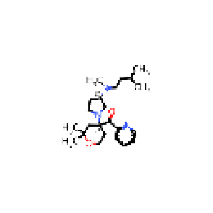 CC(C)CCN(C)[C@H]1CCN([C@@]2(C(=O)c3ccccn3)CCOC(C)(C)C2)C1